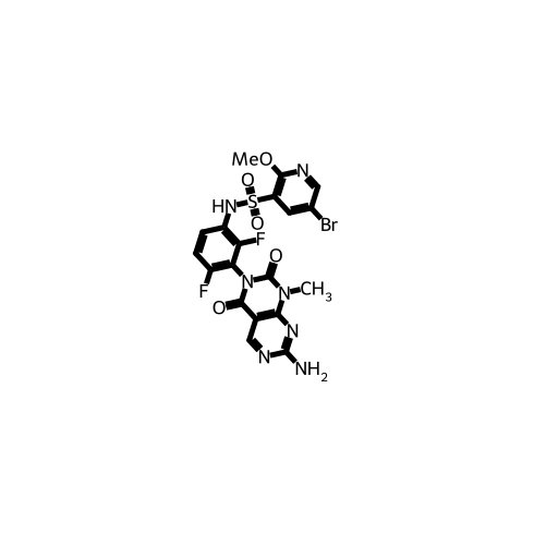 COc1ncc(Br)cc1S(=O)(=O)Nc1ccc(F)c(-n2c(=O)c3cnc(N)nc3n(C)c2=O)c1F